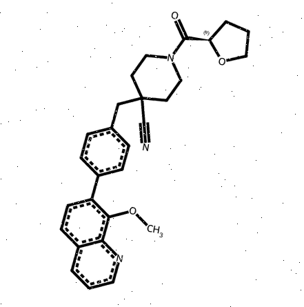 COc1c(-c2ccc(CC3(C#N)CCN(C(=O)[C@H]4CCCO4)CC3)cc2)ccc2cccnc12